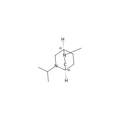 CC(C)N1C[C@H]2CC[C@@H]1CN2C